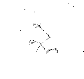 CC(N)(N)C[SiH3]